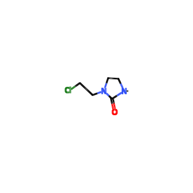 O=C1[N]CCN1CCCl